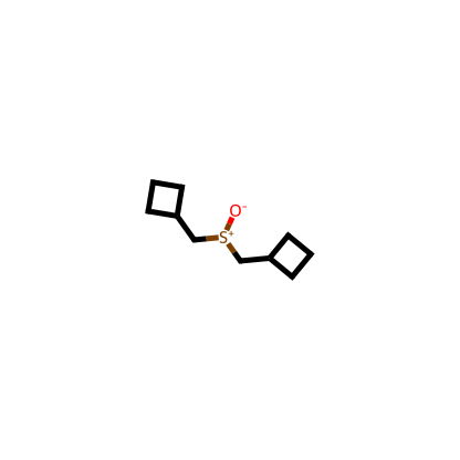 [O-][S+](CC1CCC1)CC1CCC1